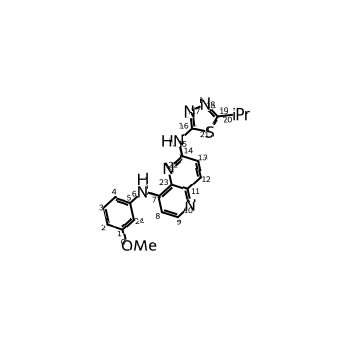 COc1cccc(Nc2ccnc3ccc(Nc4nnc(C(C)C)s4)nc23)c1